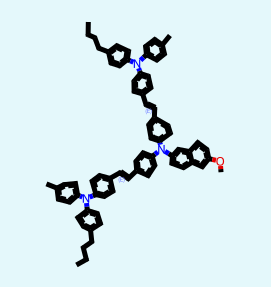 CCCCc1ccc(N(c2ccc(C)cc2)c2ccc(/C=C/c3ccc(N(c4ccc(/C=C/c5ccc(N(c6ccc(C)cc6)c6ccc(CCCC)cc6)cc5)cc4)c4ccc5cc(OC)ccc5c4)cc3)cc2)cc1